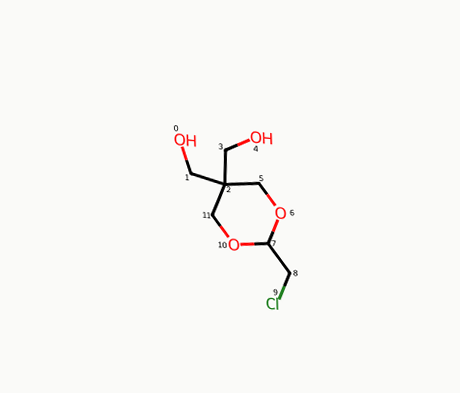 OCC1(CO)COC(CCl)OC1